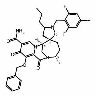 CCCC1C[C@]2(CC[C@H](C)N3C[C@H]2n2cc(C(N)=O)c(=O)c(OCc4ccccc4)c2C3=O)ON1Cc1c(F)cc(F)cc1F